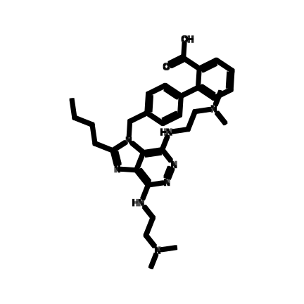 CCCCc1nc2c(NCCN(C)C)nnc(NCCN(C)C)c2n1Cc1ccc(-c2ccccc2C(=O)O)cc1